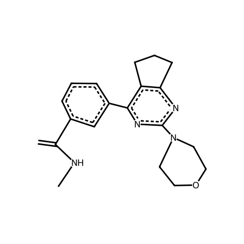 C=C(NC)c1cccc(-c2nc(N3CCOCC3)nc3c2CCC3)c1